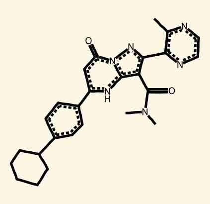 Cc1nccnc1-c1nn2c(=O)cc(-c3ccc(C4CCCCC4)cc3)[nH]c2c1C(=O)N(C)C